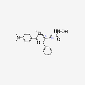 C[C@H](/C=C(/C=C/C(=O)NO)Cc1ccccc1)C(=O)c1ccc(N(C)C)cc1